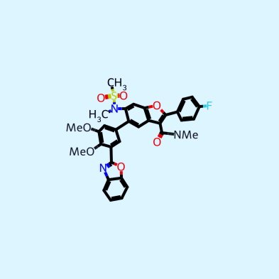 CNC(=O)c1c(-c2ccc(F)cc2)oc2cc(N(C)S(C)(=O)=O)c(-c3cc(OC)c(OC)c(-c4nc5ccccc5o4)c3)cc12